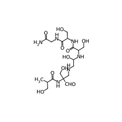 CC(CO)C(=O)NC(C=O)(CO)CNCC(O)NC(CO)C(=O)NC(CO)C(=O)NCC(N)=O